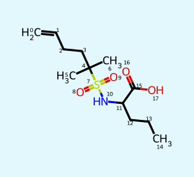 C=CCCC(C)(C)S(=O)(=O)NC(CCC)C(=O)O